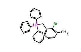 Cc1cccc(C[PH](c2ccccc2)(c2ccccc2)c2ccccc2)c1Br